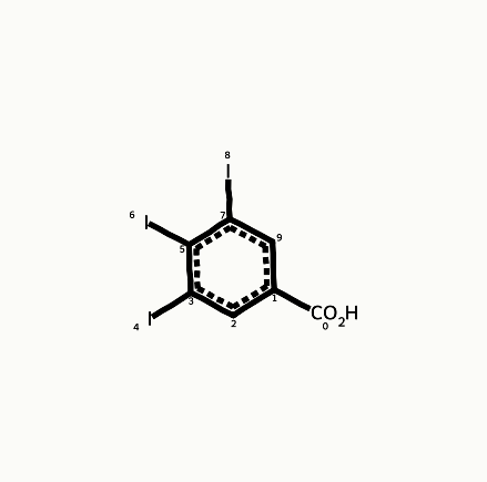 O=C(O)c1cc(I)c(I)c(I)c1